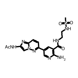 CC(=O)Nc1cn2nc(-c3cnc(N)c(C(=O)NCCNS(C)(=O)=O)c3)ccc2n1